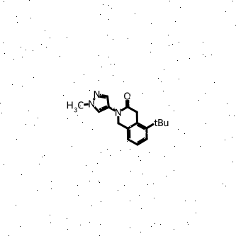 Cn1cc(N2Cc3cccc(C(C)(C)C)c3CC2=O)cn1